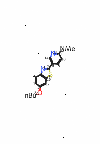 CCCCOc1ccc2nc(-c3ccc(NC)nc3)sc2c1